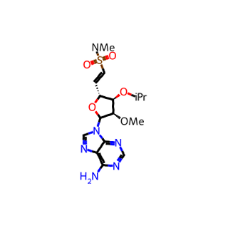 CNS(=O)(=O)/C=C/[C@H]1OC(n2cnc3c(N)ncnc32)[C@H](OC)[C@@H]1OC(C)C